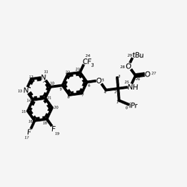 CC(C)CC(C)(COc1ccc(-c2ncnc3cc(F)c(F)cc23)cc1C(F)(F)F)NC(=O)OC(C)(C)C